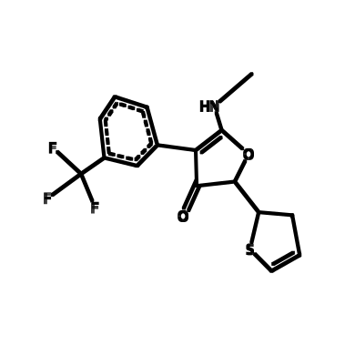 CNC1=C(c2cccc(C(F)(F)F)c2)C(=O)C(C2CC=CS2)O1